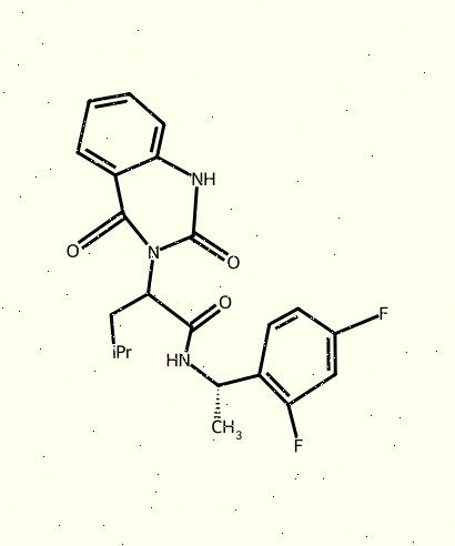 CC(C)CC(C(=O)N[C@@H](C)c1ccc(F)cc1F)n1c(=O)[nH]c2ccccc2c1=O